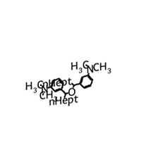 CCCCCCCC(OC(CCCCCCC)c1cccc(N(C)C)c1)c1cccc(N(C)C)c1